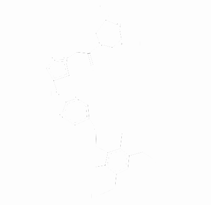 CCc1cc(OC)c(F)c(COc2cnc(Nc3cnn(CC(=O)N4C[C@@H](C)N[C@@H](C)C4)c3)nc2)c1F